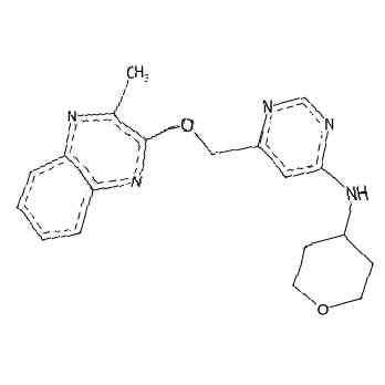 Cc1nc2ccccc2nc1OCc1cc(NC2CCOCC2)ncn1